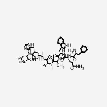 CCCC[C@H](O)[C@H](CC(C)C)NC(=O)[C@H](Cc1cnc[nH]1)NC(=O)CNC(=O)[C@@H](NC(=O)[C@H](C)NC(=O)[C@H](Cc1c[nH]c2ccccc12)NC(=O)[C@H](CCC(N)=O)NC(=O)[C@H](N)Cc1ccccc1)C(C)C